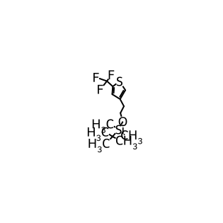 CC(C)(C)[Si](C)(C)OCCc1csc(C(F)(F)F)c1